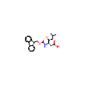 C[C](C)CC(=O)[C@@H](CC(=O)O)NC(=O)OCC1c2ccccc2-c2ccccc21